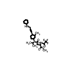 COC(=O)C(CC(=O)N(c1ccc(C#CCNc2ccccc2)c(C)c1)C(C)C)NC(=O)C(F)(F)F